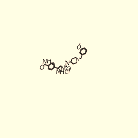 COc1cccc(CN2CCC(N(C)C(=O)n3cnc(-c4ccc(C(N)=O)cc4)c3)CC2)c1.Cl